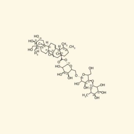 CC1O[C@@H](O[C@@H]2C(CO)O[C@@H](OCC3O[C@@H](OC(=O)[C@]45CC[C@@H](C)[C@H](C)[C@H]4C4=CC[C@@H]6[C@@]7(C)C[C@@H](O)[C@H](O)[C@@](C)(CO)[C@@H]7CC[C@@]6(C)[C@]4(C)CC5)C(O)[C@H](O)[C@@H]3O)C(O)[C@@H]2O)C(O)[C@@H](O)[C@H]1O